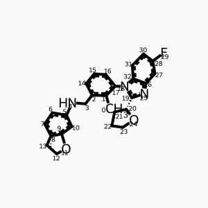 Cc1c(CNc2ccc3c(c2)OC[C]3)cccc1-n1c([C@H]2CCCO2)nc2cc(F)ccc21